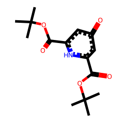 CC(C)(C)OC(=O)c1cc(=O)cc(C(=O)OC(C)(C)C)[nH]1